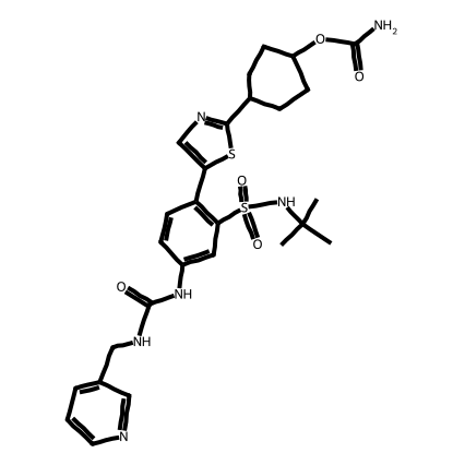 CC(C)(C)NS(=O)(=O)c1cc(NC(=O)NCc2cccnc2)ccc1-c1cnc(C2CCC(OC(N)=O)CC2)s1